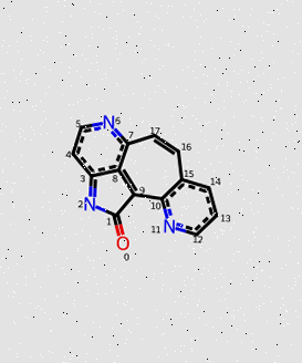 O=C1N=c2ccnc3c2=C1c1ncccc1C=C3